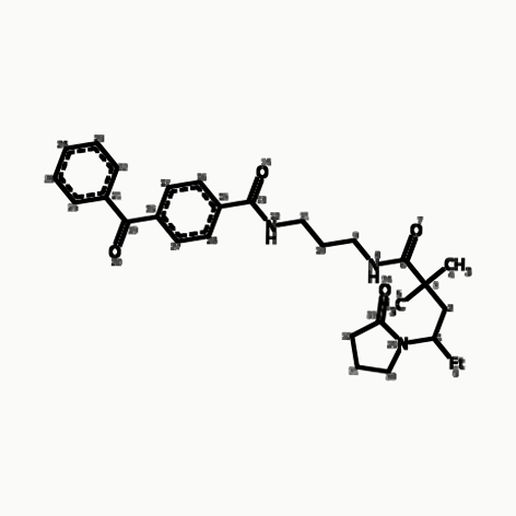 CCC(CC(C)(C)C(=O)NCCCNC(=O)c1ccc(C(=O)c2ccccc2)cc1)N1CCCC1=O